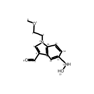 COCCn1cc(C=O)c2cc(NO)ccc21